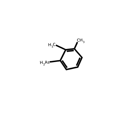 Cc1cccc([AsH2])c1C